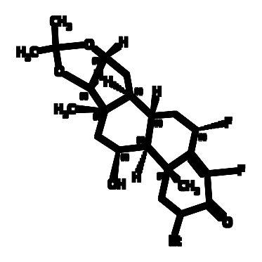 CCC1C[C@@]2(C)C(=C(F)C1=O)[C@@H](F)C[C@@H]1[C@@H]2[C@@H](O)C[C@]2(C)[C@@H]3OC(C)(C)O[C@@H]3C[C@@H]12